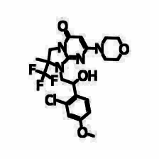 COc1ccc(C(O)CN2c3nc(N4CCOCC4)cc(=O)n3CC2(C)C(F)(F)F)c(Cl)c1